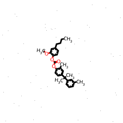 CCCCc1ccc(OC(=O)Oc2ccc(C(C)(C)c3cccc(C)c3)cc2C)c(OC)c1